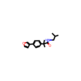 CC(C)CNC(=O)C(C)(C)c1ccc(-c2ccoc2)cc1